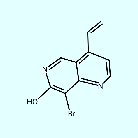 C=Cc1ccnc2c(Br)c(O)ncc12